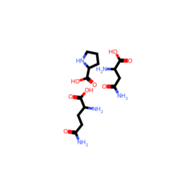 NC(=O)CC(N)C(=O)O.NC(=O)CCC(N)C(=O)O.O=C(O)C1CCCN1